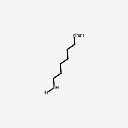 [2H]NCCCCCCCCCCC